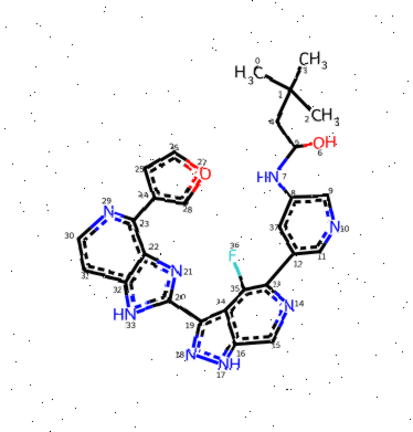 CC(C)(C)CC(O)Nc1cncc(-c2ncc3[nH]nc(-c4nc5c(-c6ccoc6)nccc5[nH]4)c3c2F)c1